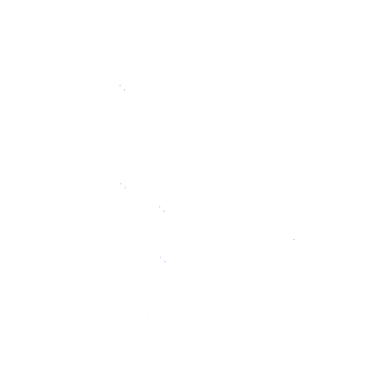 Cc1cccc2c(NCCCN(C)C)nc(-c3ccc(Br)c(C(F)(F)F)c3)nc12